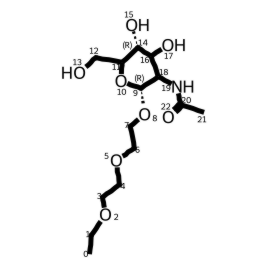 CCOCCOCCO[C@@H]1OC(CO)[C@H](O)C(O)C1NC(C)=O